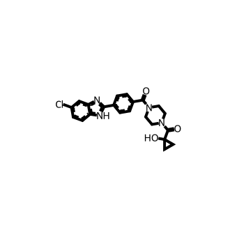 O=C(c1ccc(-c2nc3cc(Cl)ccc3[nH]2)cc1)N1CCN(C(=O)C2(O)CC2)CC1